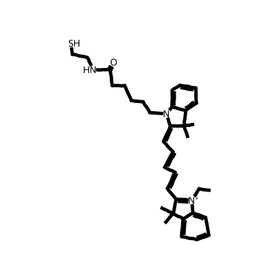 CC[N+]1=C(/C=C/C=C/C=C2/N(CCCCCC(=O)NCCS)c3ccccc3C2(C)C)C(C)(C)c2ccccc21